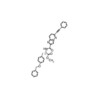 COC(=O)[C@H](Cc1ccc(OCc2ccccc2)cc1)NC(=O)c1cn2nc(C#Cc3ccccc3)ccc2n1